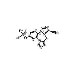 N#Cc1ncn2c1Cc1cnnn1-c1cc(OC(F)(F)F)ccc1-2